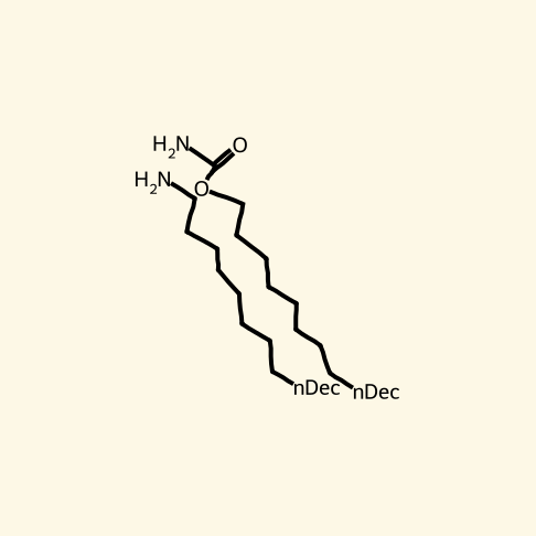 CCCCCCCCCCCCCCCCCCN.CCCCCCCCCCCCCCCCCCOC(N)=O